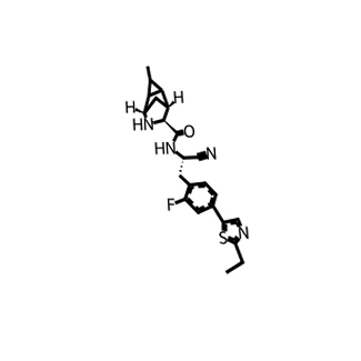 CCc1ncc(-c2ccc(C[C@@H](C#N)NC(=O)[C@H]3N[C@H]4C[C@@H]3C3C(C)C34)c(F)c2)s1